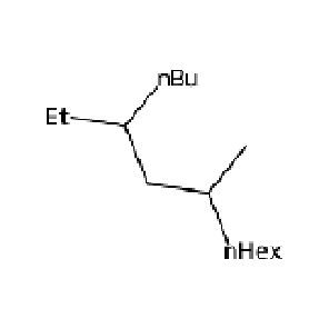 CCCCCCC(C)CC(CC)CCCC